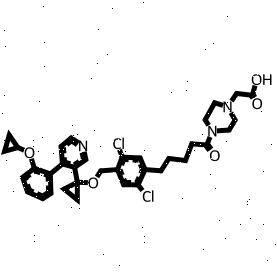 O=C(O)CN1CCN(C(=O)CCCCc2cc(Cl)c(COC3(c4cnccc4-c4ccccc4OC4CC4)CC3)cc2Cl)CC1